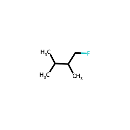 CC(C)C(C)CF